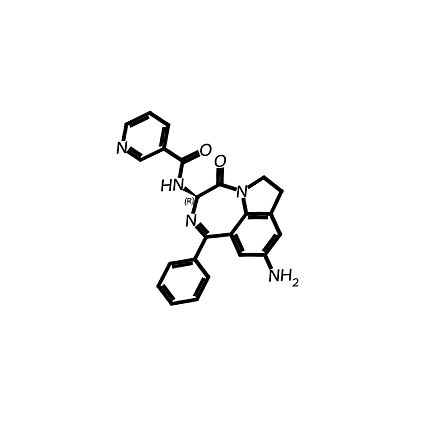 Nc1cc2c3c(c1)C(c1ccccc1)=N[C@@H](NC(=O)c1cccnc1)C(=O)N3CC2